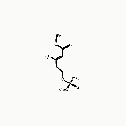 COP(N)(=O)OCCC(C)=CC(=O)OC(C)C